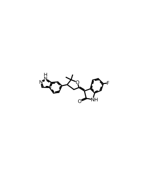 CC1(C)O/C(=C2/C(=O)Nc3cc(F)ccc32)CC1c1ccc2cn[nH]c2c1